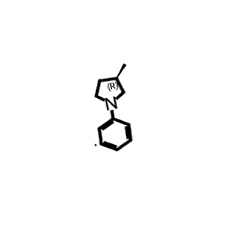 C[C@@H]1CCN(c2c[c]ccc2)C1